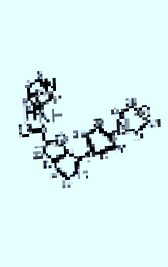 O=C(N[C@@H]1CN2CCC1CC2)C1Cc2cccc(-c3ccc(N4CCOCC4)cc3)c2O1